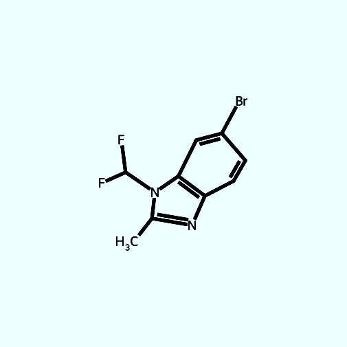 Cc1nc2ccc(Br)cc2n1C(F)F